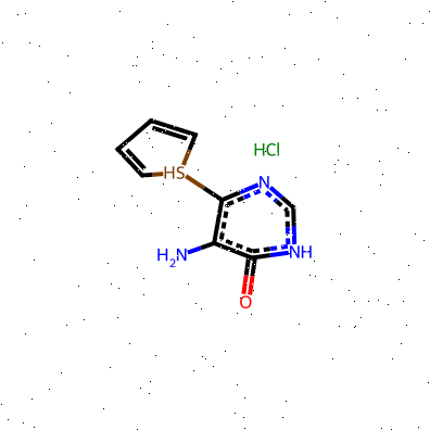 Cl.Nc1c([SH]2C=CC=C2)nc[nH]c1=O